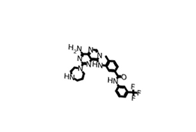 Cc1ccc(C(=O)Nc2cccc(C(F)(F)F)c2)cc1Nc1ncnc2c(N)nc(N3CCCNCC3)nc12